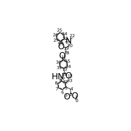 COC(=O)Cc1cccc(NC(=O)c2ccc(OC[C@@H]3CN(C)c4ccccc4O3)cc2)c1C